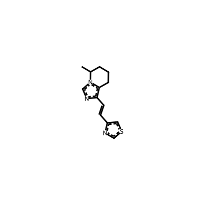 CC1CCCc2c(/C=C/c3cscn3)ncn21